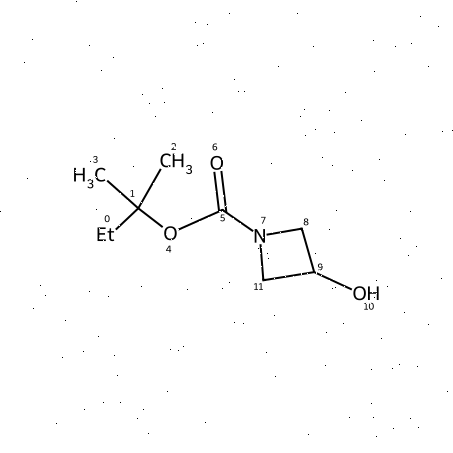 CCC(C)(C)OC(=O)N1CC(O)C1